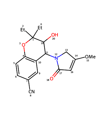 CCC1(CC)Oc2ccc(C#N)cc2C(N2CC(OC)=CC2=O)C1O